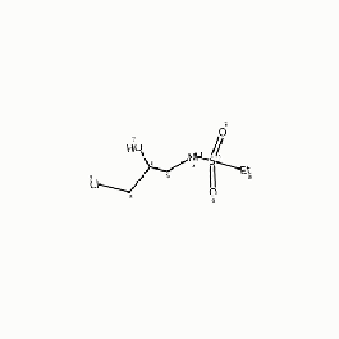 CCS(=O)(=O)NCC(O)CCl